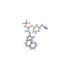 CC(C)(C)OC(=O)NC(c1nc2cnc3cccnc3c2[nH]1)[C@H]1CC[C@H](CC#N)CC1